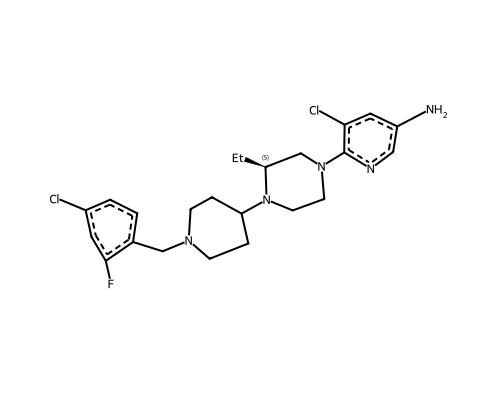 CC[C@H]1CN(c2ncc(N)cc2Cl)CCN1C1CCN(Cc2ccc(Cl)cc2F)CC1